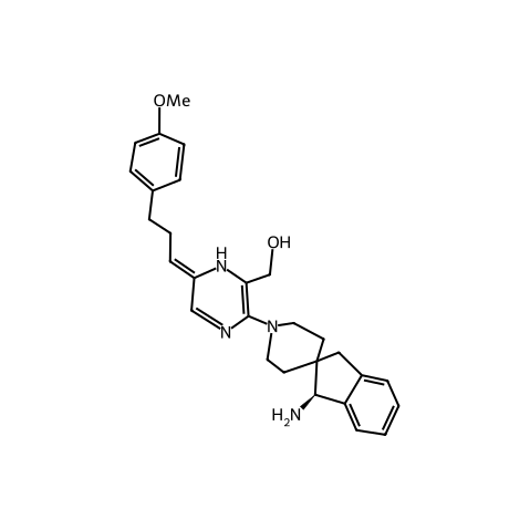 COc1ccc(CCC=C2C=NC(N3CCC4(CC3)Cc3ccccc3[C@H]4N)=C(CO)N2)cc1